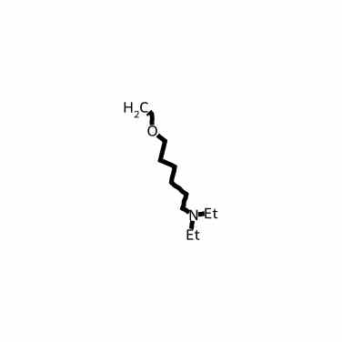 C=COCCCCCCN(CC)CC